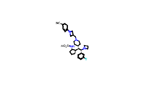 N#Cc1ccc(N2CC(CN3CCC([C@@H]([C@H]4CCC[C@@H]4NC(=O)O)[C@@H](c4cccc(F)c4)N4CCC4)CC3)C2)cc1